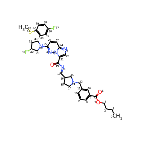 CCCCOC(=O)c1cccc(CN2CCC(/C=N/C(=O)c3cnc4ccc(N5C[C@@H](F)C[C@@H]5c5cc(F)ccc5SC)nn34)C2)c1